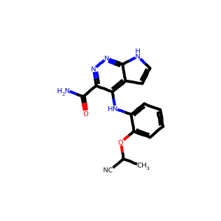 CC(C#N)Oc1ccccc1Nc1c(C(N)=O)nnc2[nH]ccc12